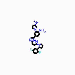 CN(C)C1CCN(c2cc(-c3cnc4ccc(N5CCCC5c5cc(F)ccc5F)nn34)ccc2N)C1